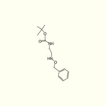 CC(C)(C)OC(=O)N[CH]CNOCc1ccccc1